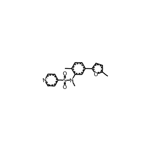 Cc1ccc(-c2ccc(C)c(N(C)S(=O)(=O)c3ccncc3)c2)o1